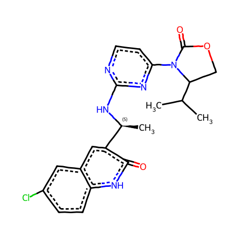 CC(C)C1COC(=O)N1c1ccnc(N[C@@H](C)c2cc3cc(Cl)ccc3[nH]c2=O)n1